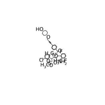 Cc1c(F)ccc(F)c1-c1c(C(N)=O)c(C(CS(C)(=O)=O)c2cccc(Cl)c2)n(C)c1C(=O)c1ccc(C#CCOC2CCC(O)CC2)cc1